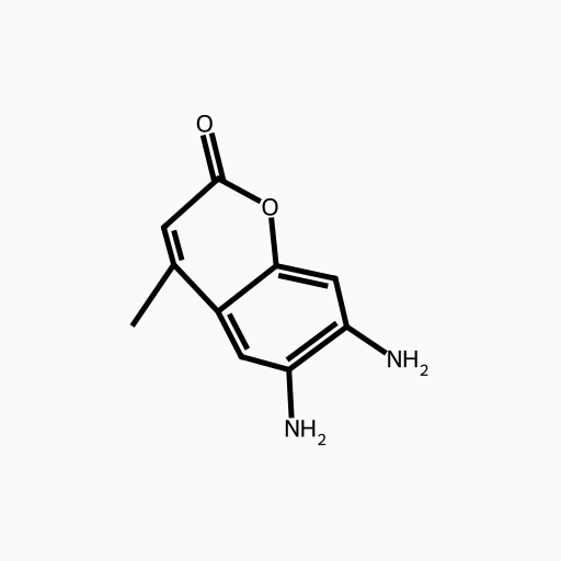 Cc1cc(=O)oc2cc(N)c(N)cc12